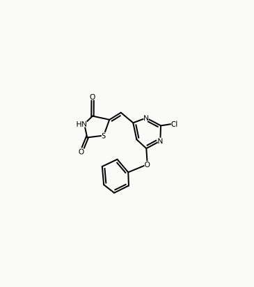 O=C1NC(=O)/C(=C/c2cc(Oc3ccccc3)nc(Cl)n2)S1